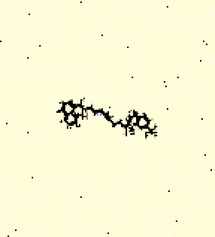 C[C@@H](NC/C=C/C#CCCNS(=O)(=O)c1cc(C(F)(F)F)ccc1Cl)c1cccc2ccccc12